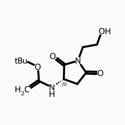 C=C(N[C@H]1CC(=O)N(CCO)C1=O)OC(C)(C)C